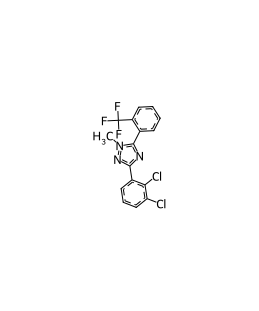 Cn1nc(-c2cccc(Cl)c2Cl)nc1-c1ccccc1C(F)(F)F